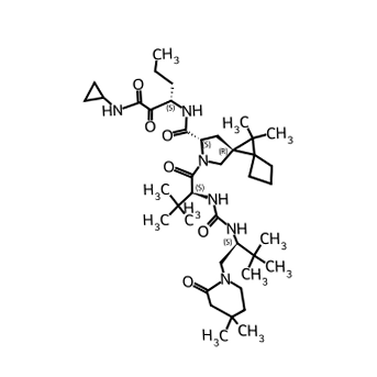 CCC[C@H](NC(=O)[C@@H]1C[C@@]2(CN1C(=O)[C@@H](NC(=O)N[C@H](CN1CCC(C)(C)CC1=O)C(C)(C)C)C(C)(C)C)C(C)(C)C21CCC1)C(=O)C(=O)NC1CC1